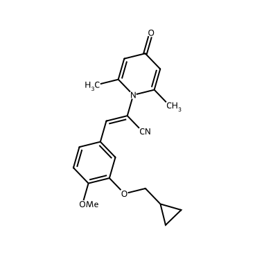 COc1ccc(/C=C(\C#N)n2c(C)cc(=O)cc2C)cc1OCC1CC1